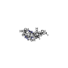 CCC1/C=C(\C)C(O)C/C=C/C=C(\CO)C(=O)OC(C(C)O)C/C=C(C)/C=C(\C)C1OC1OC2(C)OC2C(OC(=O)C(C)C)C1O